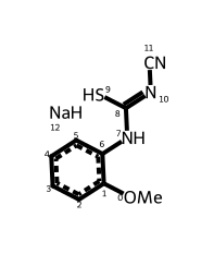 COc1ccccc1NC(S)=NC#N.[NaH]